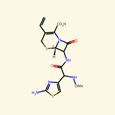 C=CC1=C(C(=O)O)N2C(=O)C(NC(=O)C(NOC)c3csc(N)n3)[C@@H]2SC1